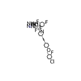 N/N=C\N(N)CC(O)(c1ccc(F)cc1F)C(F)(F)c1ccc(C#Cc2ccc(OCc3ccc(Cl)cc3F)cc2)cn1